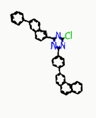 Clc1nc(-c2ccc(-c3ccc4ccc5ccccc5c4c3)cc2)nc(-c2ccc3cc(-c4ccccc4)ccc3c2)n1